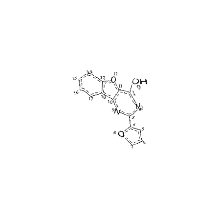 Oc1nc(-c2ccco2)nc2c1oc1ccccc12